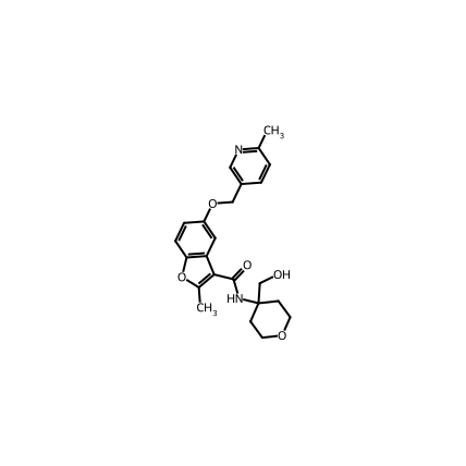 Cc1ccc(COc2ccc3oc(C)c(C(=O)NC4(CO)CCOCC4)c3c2)cn1